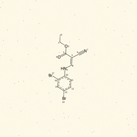 CCOC(=O)C(C#N)=CNc1ccc(Br)cc1Br